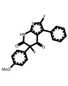 COc1ccc(C2(F)C(=O)Nc3sc(F)c(-c4ccccc4)c3C2=O)cc1